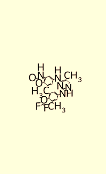 Cc1cnc(Nc2cc(C)c(OC(F)F)c(C)c2)nc1Nc1ccc2oc(=O)[nH]c2c1